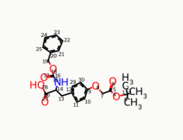 CC(C)(C)OC(=O)COc1ccc(CC(NC(=O)OCc2ccccc2)C(=O)O)cc1